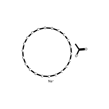 C1CCCCCCCCCCOOCCCCCCCCC1.CC(=O)[O-].[Na+]